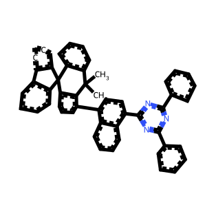 CC1(C)c2ccccc2C2(c3ccccc3-c3ccccc32)c2cccc(-c3ccc(-c4nc(-c5ccccc5)nc(-c5ccccc5)n4)c4ccccc34)c21